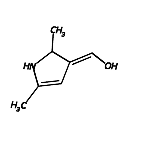 CC1=CC(=CO)C(C)N1